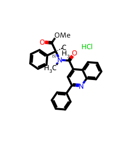 COC(=O)[C@](C)(c1ccccc1)N(C)C(=O)c1cc(-c2ccccc2)nc2ccccc12.Cl